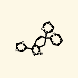 C1=CC(c2ccccn2)(c2ccccn2)Cc2[nH]nc(-c3cnco3)c21